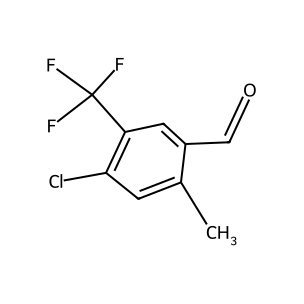 Cc1cc(Cl)c(C(F)(F)F)cc1C=O